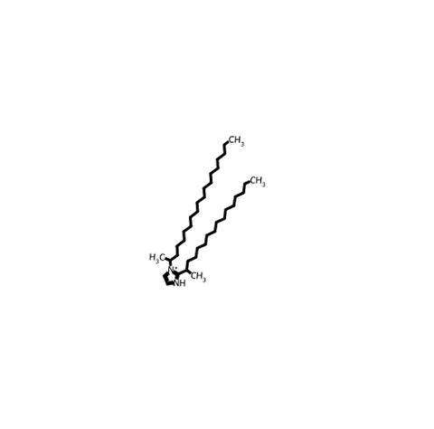 CCCCCCCCCCCCCCCCCC(C)[n+]1cc[nH]c1C(C)CCCCCCCCCCCCCC